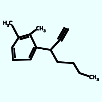 [C]#CC(CCCC)c1cccc(C)c1C